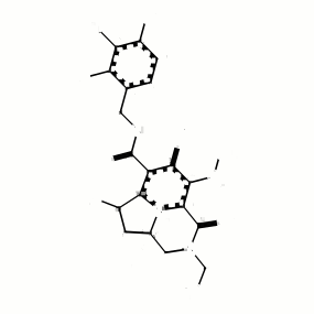 CCN1C[C@H]2CC(C)c3c(C(=O)NCc4ccc(F)c(I)c4F)c(=O)c(OC)c(n32)C1=O